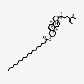 CC=C(CC[C@@H](C)[C@H]1CC[C@H]2[C@@H]3CC=C4C[C@@H](OC(=O)CCCCCCCCCCCCCCCCC)CC[C@]4(C)[C@H]3CC[C@]12C)C(C)C